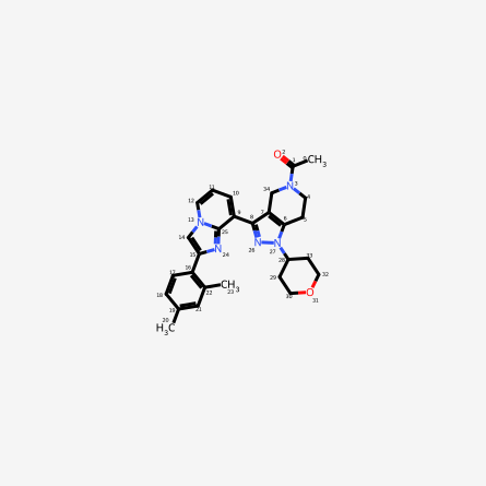 CC(=O)N1CCc2c(c(-c3cccn4cc(-c5ccc(C)cc5C)nc34)nn2C2CCOCC2)C1